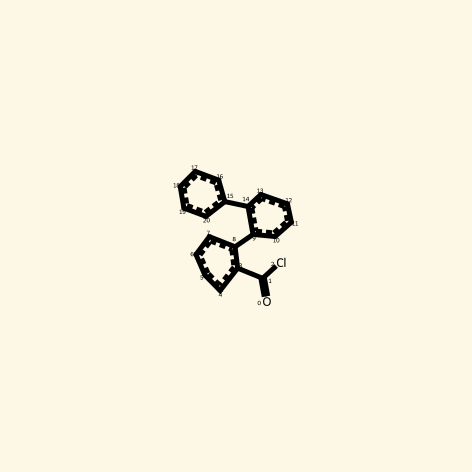 O=C(Cl)c1ccccc1-c1ccccc1-c1ccccc1